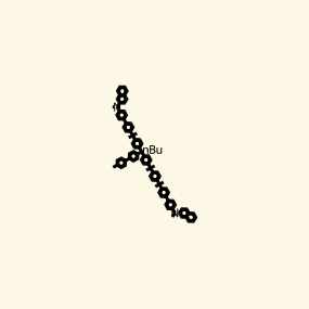 CCCCC(c1ccc(-c2ccc(C)cc2)cc1)(c1ccc(C(C)(C)c2ccc(-c3ccc(N(C)c4ccc5ccccc5c4)cc3)cc2)cc1)c1ccc(C(C)(C)c2ccc(C(C)(C)c3ccc(-c4ccc(N(C)c5ccc6ccccc6c5)cc4)cc3)cc2)cc1